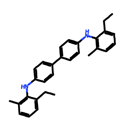 CCc1cccc(C)c1Nc1ccc(-c2ccc(Nc3c(C)cccc3CC)cc2)cc1